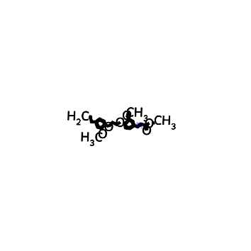 C=CCc1ccc(OCCOc2ccc(/C=C/C(=O)OCC)cc2OC)c(OC)c1